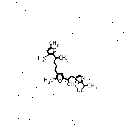 Cc1cc(C)c(C(C)CCCc2cc(C(C)Cc3cnc(C(C)C)o3)oc2C)o1